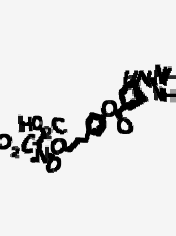 CN(C(=O)OCCCc1ccc(OC(=O)c2ccc(NC(=N)N)cc2)cc1)[C@@H](CC(=O)O)C(=O)O